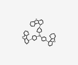 c1ccc2c(c1)sc1cccc(-c3ccc(N(c4ccc(-c5cccc6sc7ccccc7c56)cc4)c4ccc(-c5cccc6sc7ccccc7c56)cc4)cc3)c12